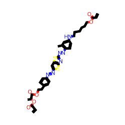 C=CC(=O)OCCCCCCNc1ccc(/N=N/c2nc3sc(/N=N/c4ccc(CCOC(=O)C(C)OC(=O)C=C)cc4)cc3s2)c(C)c1